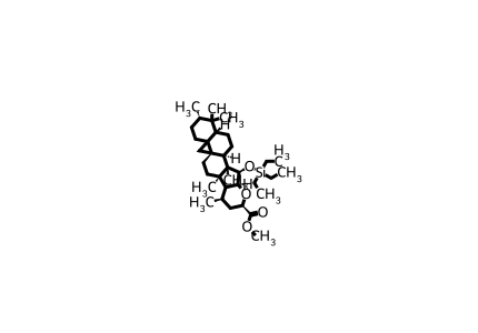 CC[Si](CC)(CC)O[C@H]1[C@H]2O[C@@H](C(=O)OC)C[C@@H](C)C2[C@@]2(C)CC[C@@]34CC35CC[C@H](C)C(C)(C)[C@@H]5CC[C@H]4[C@]12C